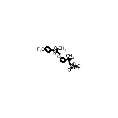 Cc1oc(-c2ccc(C(F)(F)F)cc2)nc1COc1cccc(C2(C)CC2Cn2oc(=O)[nH]c2=O)c1